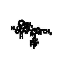 CCc1cn2cc(-c3nc(N)c4c(n3)NC(=O)C4(C)c3ccccc3)nc(CCC(F)(F)C(F)(F)F)c2n1